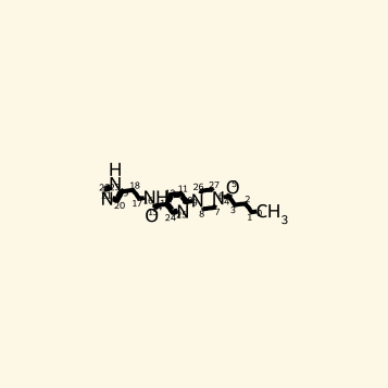 CCCCC(=O)N1CCN(c2ccc(C(=O)NCCc3cnc[nH]3)cn2)CC1